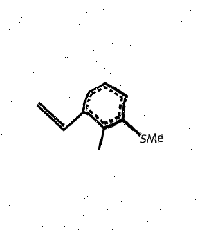 C=[C]c1cccc(SC)c1C